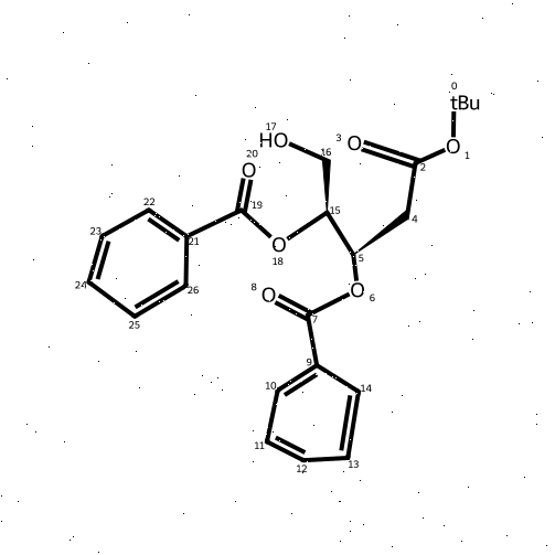 CC(C)(C)OC(=O)C[C@@H](OC(=O)c1ccccc1)[C@H](CO)OC(=O)c1ccccc1